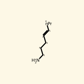 CCCC=CCCCN